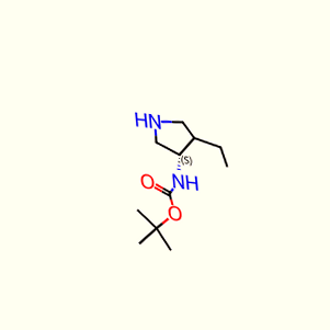 CCC1CNC[C@H]1NC(=O)OC(C)(C)C